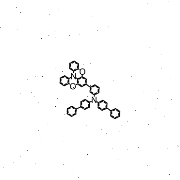 c1ccc(-c2ccc(N(c3ccc(-c4ccccc4)cc3)c3cccc(-c4cc5c6c(c4)Oc4ccccc4N6c4ccccc4O5)c3)cc2)cc1